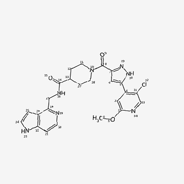 COc1cc(-c2cc(C(=O)N3CCC(C(=O)NCc4nccc5[nH]ccc45)CC3)n[nH]2)c(Cl)cn1